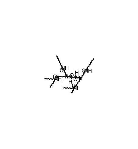 CCCCCCCCCCCNC(=O)CCCCCN(CCCCCCCC(=O)NC(CCCC)CCCCCCCC)CCNC(=O)CCC(=O)NCCN(CCCCCCC(C)(C)C(=O)NC(CCCCCCC)CCCCCCCC)CCCCCC(=O)NCCCCCCCCCCC